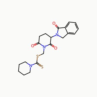 O=C1CCC(N2Cc3ccccc3C2=O)C(=O)N1CSC(=S)N1CCCCC1